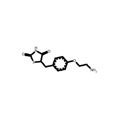 NCCOc1ccc(CC2SC(=O)NC2=O)cc1